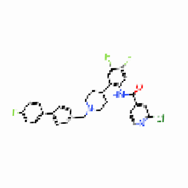 O=C(Nc1cc(F)c(F)cc1C1CCN(Cc2ccc(-c3ccc(F)cc3)cc2)CC1)c1ccnc(Cl)c1